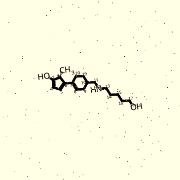 C[C@H]1C(O)=CC=C1C1=CCC(CNCCCCCO)CC1